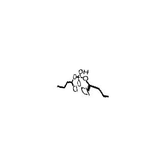 CCCC(Cl)OP(=O)(O)OC(Cl)CCC